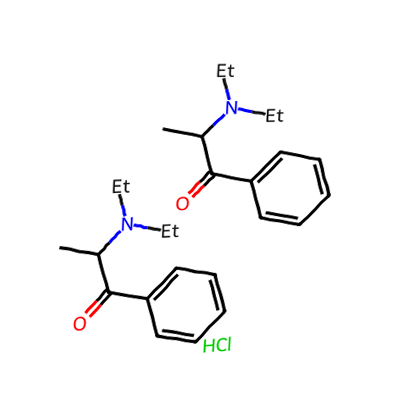 CCN(CC)C(C)C(=O)c1ccccc1.CCN(CC)C(C)C(=O)c1ccccc1.Cl